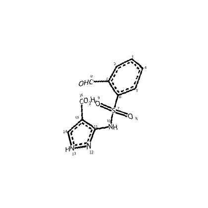 O=Cc1ccccc1S(=O)(=O)Nc1n[nH]cc1C(=O)O